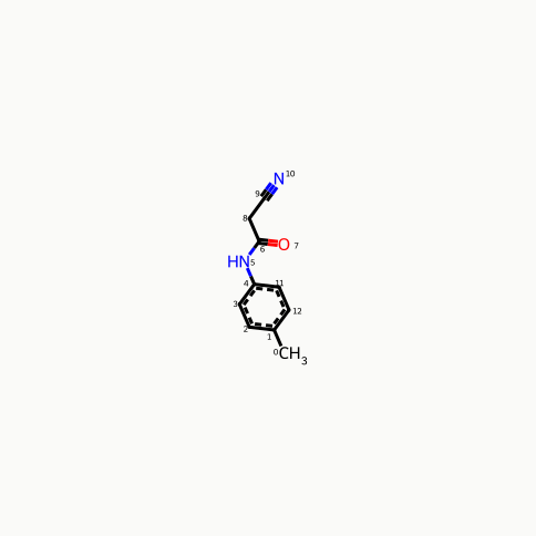 Cc1ccc(NC(=O)CC#N)cc1